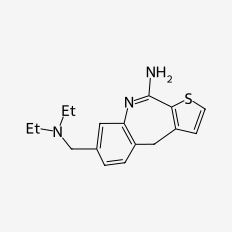 CCN(CC)Cc1ccc2c(c1)N=C(N)c1sccc1C2